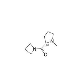 CN1CCC[C@H]1C(=O)N1CCC1